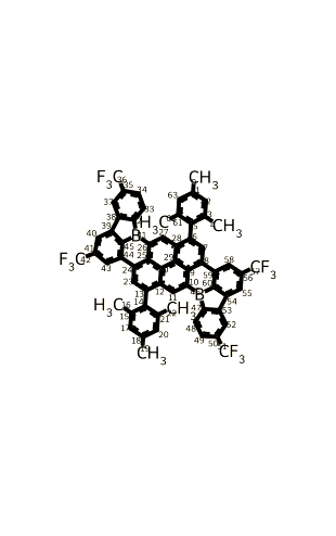 Cc1cc(C)c(-c2cc3c4c(cc5c(-c6c(C)cc(C)cc6C)cc6c7c(cc2c4c57)B2c4ccc(C(F)(F)F)cc4-c4cc(C(F)(F)F)cc-6c42)B2c4ccc(C(F)(F)F)cc4-c4cc(C(F)(F)F)cc-3c42)c(C)c1